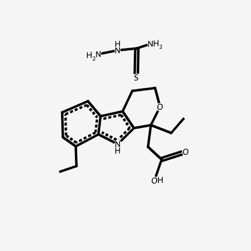 CCc1cccc2c3c([nH]c12)C(CC)(CC(=O)O)OCC3.NNC(N)=S